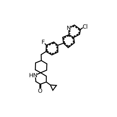 O=C1CNC2(CCC(Cc3ccc(-c4ccc5cc(Cl)cnc5c4)cc3F)CC2)CC1C1CC1